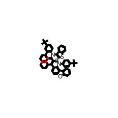 CC(C)(C)c1ccc(N2B3c4sc5ccccc5c4N(c4ccc(C(C)(C)C)cc4-c4ccccc4)c4cc5ccccc5c(c43)-c3ccc4oc5ccccc5c4c32)cc1